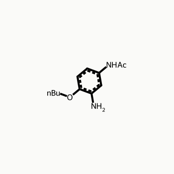 CCCCOc1ccc(NC(C)=O)cc1N